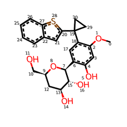 COc1cc(O)c([C@@H]2O[C@H](CO)C[C@H](O)[C@H]2O)cc1C1(c2cc3ccccc3s2)CC1